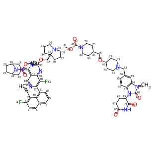 C#Cc1c(F)ccc2cccc(-c3ncc4c(N5CC6CCC(C5)N6C(=O)OC(C)(C)C)nc(OC[C@@]56CCCN5[C@H](COC(=O)N5CCC(COC7CCN(Cc8ccc9c(c8)n(C)c(=O)n9C8CCC(=O)NC8=O)CC7)CC5)CC6)nc4c3F)c12